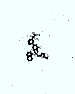 Cc1ccc2ccccc2c1S(=O)(=O)N(Cc1ccc(C(F)(F)F)o1)Cc1c(Cl)cc(-c2cccc(C(C)(C)C(=O)O)c2)cc1Cl